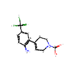 Nc1ccc(C(F)(F)F)cc1C1=CCN(C(=O)O)CC1